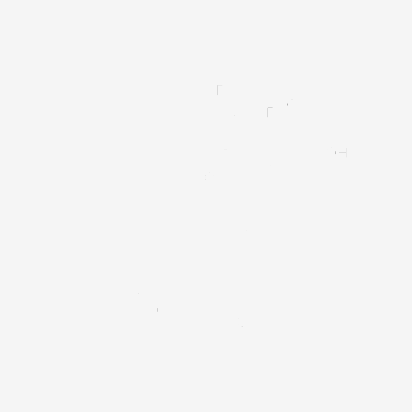 O=C(O)C1=Cc2cc(Cl)c(OC3=CCCC=C3)cc2O[C@@H]1C(F)(F)F